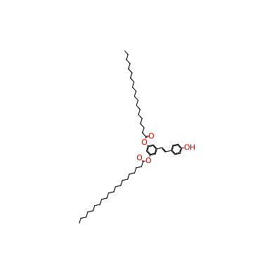 CCCCCCCCCCCCCCCCCCCC(=O)Oc1cc(C=Cc2ccc(O)cc2)cc(OC(=O)CCCCCCCCCCCCCCCCCCC)c1